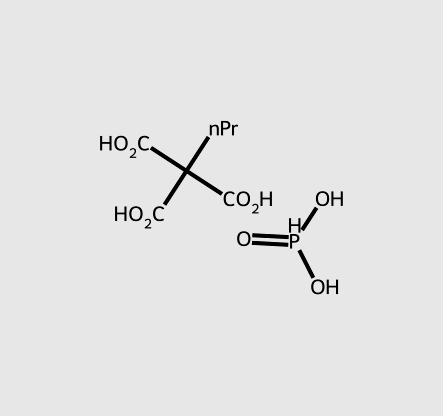 CCCC(C(=O)O)(C(=O)O)C(=O)O.O=[PH](O)O